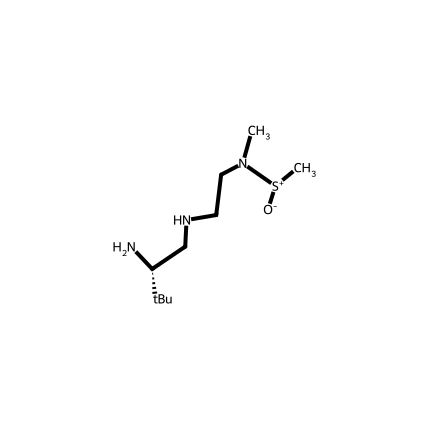 CN(CCNC[C@@H](N)C(C)(C)C)[S+](C)[O-]